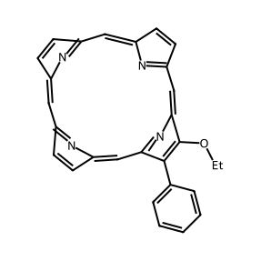 CCOC1=C(c2ccccc2)C2=NC1=CC1=NC(=CC3=NC(=CC4=NC(=C2)C=C4)C=C3)C=C1